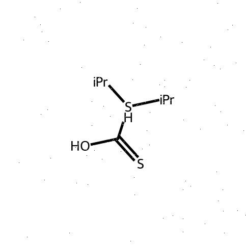 CC(C)[SH](C(O)=S)C(C)C